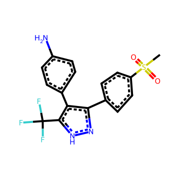 CS(=O)(=O)c1ccc(-c2n[nH]c(C(F)(F)F)c2-c2ccc(N)cc2)cc1